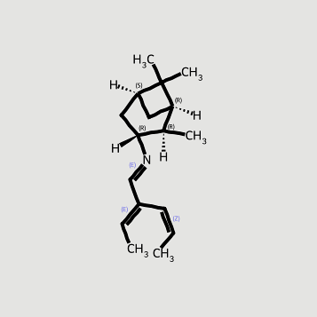 C\C=C/C(/C=N/[C@@H]1C[C@@H]2C[C@H]([C@H]1C)C2(C)C)=C\C